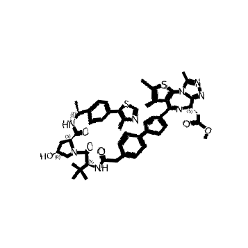 COC(=O)C[C@@H]1N=C(c2ccc(-c3ccc(CC(=O)N[C@H](C(=O)N4C[C@H](O)C[C@H]4C(=O)N[C@@H](C)c4ccc(-c5scnc5C)cc4)C(C)(C)C)cc3)cc2)c2c(sc(C)c2C)-n2c(C)nnc21